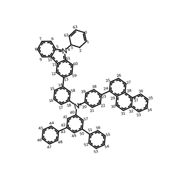 C1=CCC(n2c3ccccc3c3cc(-c4cccc(N(c5ccc(-c6cccc7c6ccc6ccccc67)cc5)c5cc(-c6ccccc6)cc(-c6ccccc6)c5)c4)ccc32)C=C1